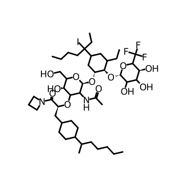 CCCCCC(C)C1CCC(C[C@H](OC2C(NC(C)=O)[C@H](O[C@@H]3CC(C(I)(CC)CCCC)CC(CC)[C@H]3O[C@@H]3OC(C(F)(F)F)[C@@H](O)C(O)C3O)OC(CO)[C@@H]2O)C(=O)N2CCC2)CC1